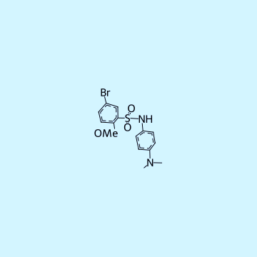 COc1ccc(Br)cc1S(=O)(=O)Nc1ccc(N(C)C)cc1